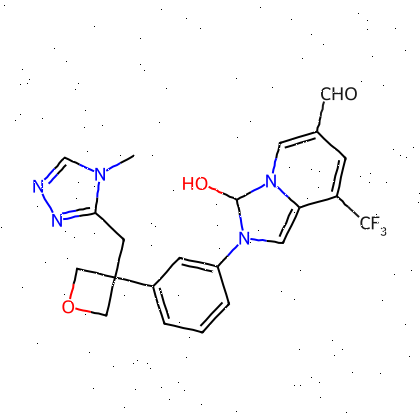 Cn1cnnc1CC1(c2cccc(N3C=C4C(C(F)(F)F)=CC(C=O)=CN4C3O)c2)COC1